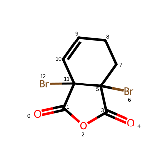 O=C1OC(=O)C2(Br)CCC=CC12Br